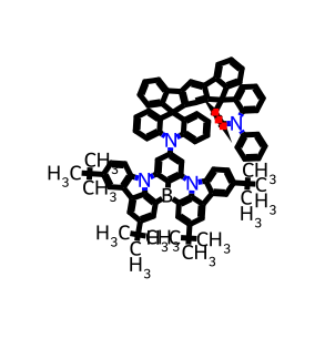 CC(C)(C)c1ccc2c(c1)c1cc(C(C)(C)C)cc3c1n2-c1cc(N2c4ccccc4C4(c5ccccc5-c5cc6c(cc54)C4(c5ccccc5-6)c5ccccc5N(c5ccccc5)c5ccccc54)c4ccccc42)cc2c1B3c1cc(C(C)(C)C)cc3c4cc(C(C)(C)C)ccc4n-2c13